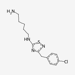 NCCCCCNc1nc(Cc2ccc(Cl)cc2)ns1